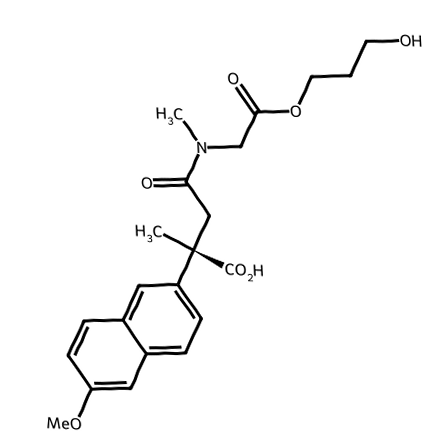 COc1ccc2cc([C@](C)(CC(=O)N(C)CC(=O)OCCCO)C(=O)O)ccc2c1